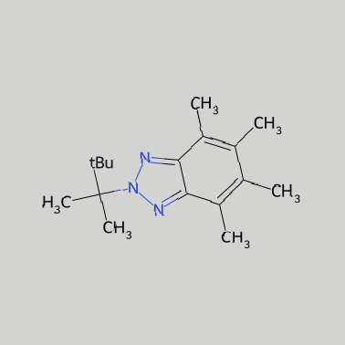 Cc1c(C)c(C)c2nn(C(C)(C)C(C)(C)C)nc2c1C